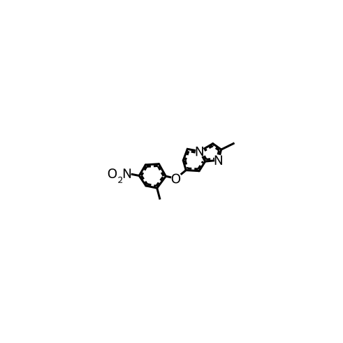 Cc1cn2ccc(Oc3ccc([N+](=O)[O-])cc3C)cc2n1